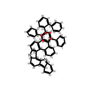 c1ccc(-c2ccccc2-c2ccccc2-c2c(-c3nnnc(-c4ccccc4-c4ccccc4)c3-c3ccccc3)ccc3c2-c2c4c(ccc2=N3)=c2ccccc2=N4)cc1